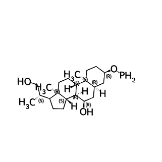 C[C@H](CO)C1CC[C@H]2[C@@H]3[C@H](O)C[C@@H]4C[C@H](OP)CC[C@]4(C)[C@H]3CC[C@]12C